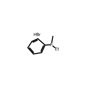 Br.CCP(C)c1ccccc1